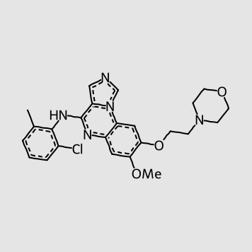 COc1cc2nc(Nc3c(C)cccc3Cl)c3cncn3c2cc1OCCN1CCOCC1